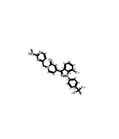 CNc1nccc(Cn2ccc(-c3nn(-c4ccc(C(F)(F)F)cc4)c4c(F)cccc34)cc2=O)n1